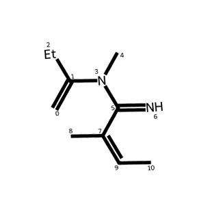 C=C(CC)N(C)C(=N)/C(C)=C\C